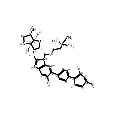 C[Si](C)(C)CCOCn1c(O[C@@H]2CO[C@H]3[C@@H]2OC[C@H]3O)nc2cc(Cl)c(-c3ccc(-c4ncc(Br)cc4F)cc3)nc21